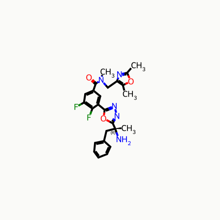 Cc1nc(CN(C)C(=O)c2cc(F)c(F)c(-c3nnc([C@](C)(N)Cc4ccccc4)o3)c2)c(C)o1